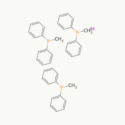 CP(c1ccccc1)c1ccccc1.CP(c1ccccc1)c1ccccc1.CP(c1ccccc1)c1ccccc1.I